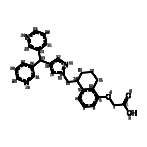 O=C(O)COc1cccc2c1CCCC2Cn1cc(C(c2cccnc2)c2cccnc2)cn1